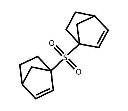 O=S(=O)(C12C=CC(CC1)C2)C12C=CC(CC1)C2